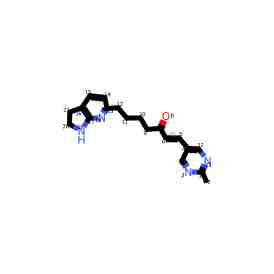 Cc1ncc(/C=C/C(=O)CCCCc2ccc3c(n2)NCC3)cn1